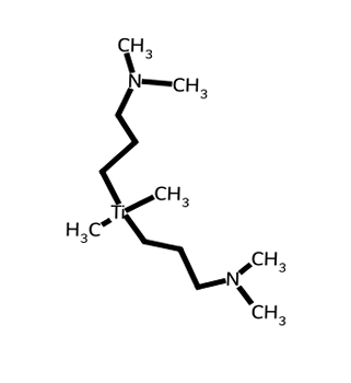 CN(C)CC[CH2][Ti]([CH3])([CH3])[CH2]CCN(C)C